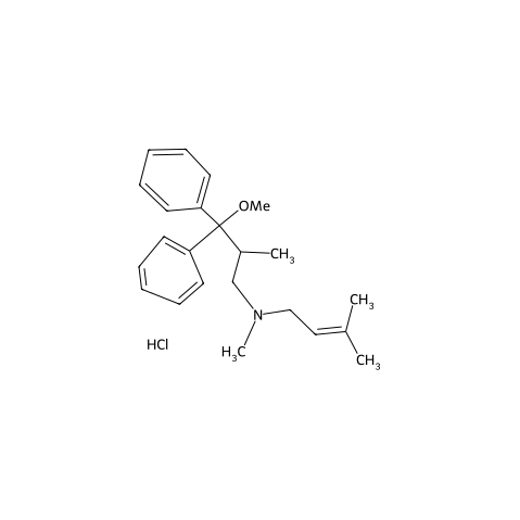 COC(c1ccccc1)(c1ccccc1)C(C)CN(C)CC=C(C)C.Cl